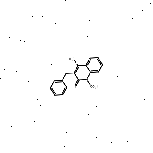 Cc1c(Cc2ccccc2)c(=O)n(C(=O)O)c2ccccc12